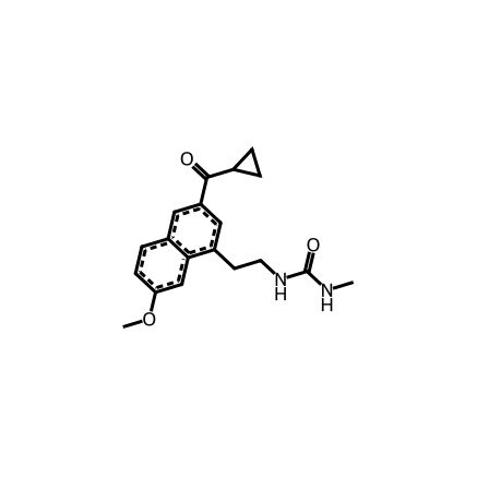 CNC(=O)NCCc1cc(C(=O)C2CC2)cc2ccc(OC)cc12